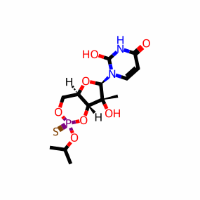 CC(C)OP1(=S)OC[C@H]2O[C@@H](N3C=CC(=O)NC3O)[C@](C)(O)[C@@H]2O1